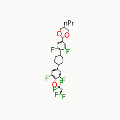 CCCC1COC(c2cc(F)c(C3CCC(c4cc(F)c(OC(F)(F)C=C(F)F)c(F)c4)CC3)c(F)c2)OC1